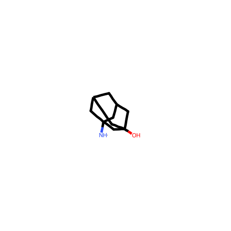 [NH]C12CC3CC(C1)CC(O)(C3)C2